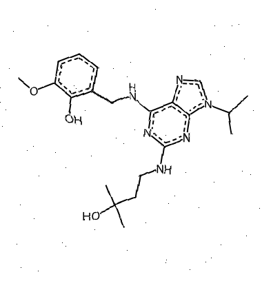 COc1cccc(CNc2nc(NCCC(C)(C)O)nc3c2ncn3C(C)C)c1O